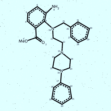 COC(=O)c1cccc(N)c1N(CCN1CCN(c2ccccc2)CC1)Cc1ccccc1